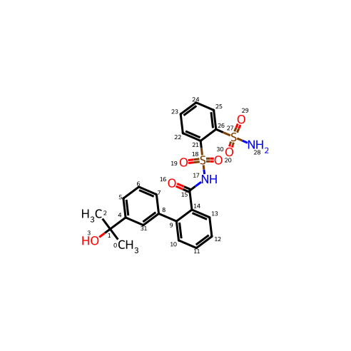 CC(C)(O)c1cccc(-c2ccccc2C(=O)NS(=O)(=O)c2ccccc2S(N)(=O)=O)c1